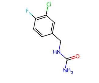 NC(=O)NCc1ccc(F)c(Cl)c1